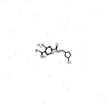 CCC1CCC(CNC(=O)c2cc(N)c(C(=N)Br)cn2)C1